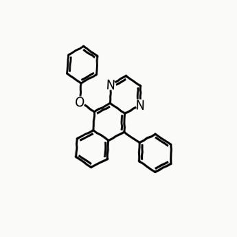 c1ccc(Oc2c3ccccc3c(-c3ccccc3)c3nccnc23)cc1